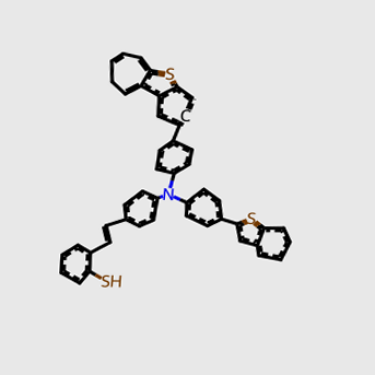 Sc1ccccc1/C=C/c1ccc(N(c2ccc(-c3ccc4sc5c(c4c3)=CCC=CC=5)cc2)c2ccc(-c3cc4ccccc4s3)cc2)cc1